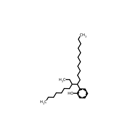 CCCCCCCCCCCC(c1ccccc1O)C(CC)CCCCCCC